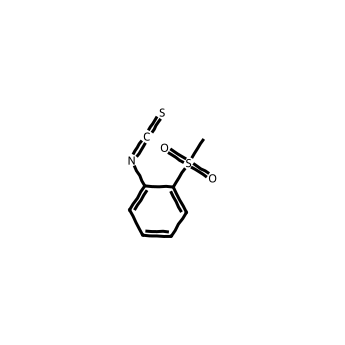 CS(=O)(=O)c1ccccc1N=C=S